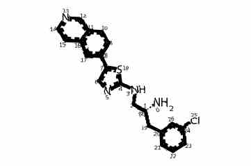 N[C@@H](CNc1ncc(-c2ccc3cnccc3c2)s1)Cc1cccc(Cl)c1